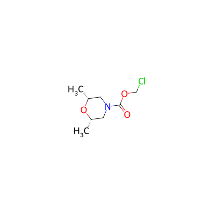 C[C@@H]1CN(C(=O)OCCl)C[C@H](C)O1